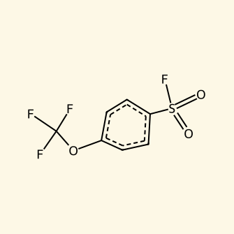 O=S(=O)(F)c1ccc(OC(F)(F)F)cc1